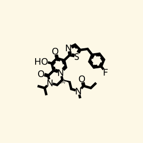 CCC(=O)N(C)CC[C@H]1CN(C(C)C)C(=O)c2c(O)c(=O)c(-c3ncc(Cc4ccc(F)cc4)s3)cn21